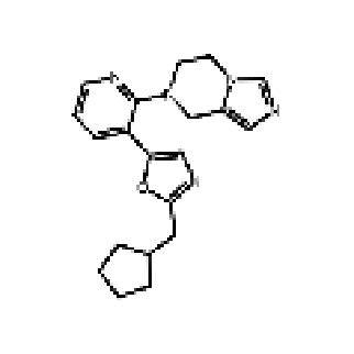 c1cnc(N2CCn3cncc3C2)c(-c2cnc(CC3CCCC3)o2)c1